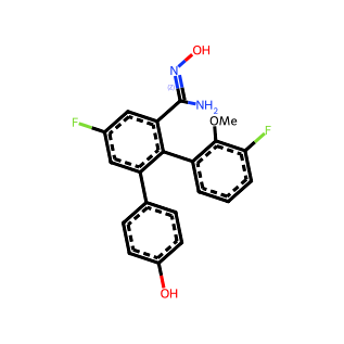 COc1c(F)cccc1-c1c(/C(N)=N/O)cc(F)cc1-c1ccc(O)cc1